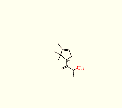 C=C(C(C)O)[C@@H]1CC=C(C)C1(C)C